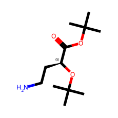 CC(C)(C)OC(=O)[C@H](CCN)OC(C)(C)C